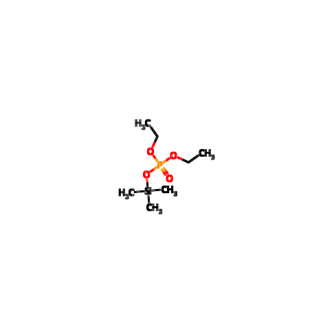 CCOP(=O)(OCC)O[Si](C)(C)C